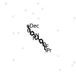 CCCCCCCCCCCCOc1ccc(-c2ncc(-c3ccc(OCC(F)CC(C)C)cc3)cn2)cc1